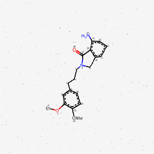 CCOc1cc(CCCN2Cc3cccc(N)c3C2=O)ccc1OC